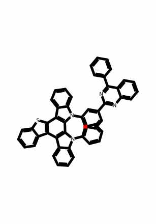 c1ccc(-c2nc(-c3cccc(-n4c5ccccc5c5c6sc7ccccc7c6c6c7ccccc7n(-c7ccccc7)c6c54)c3)nc3ccccc23)cc1